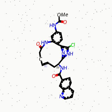 COC(=O)Nc1ccc2c(c1)NC(=O)CC/C=C/C[C@H](NC(=O)c1ccc3cccnc3c1)c1nc-2c(Cl)[nH]1